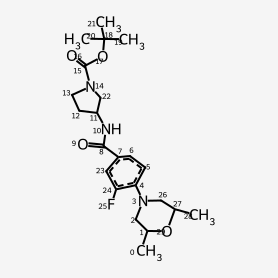 CC1CN(c2ccc(C(=O)NC3CCN(C(=O)OC(C)(C)C)C3)cc2F)CC(C)O1